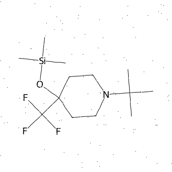 CC(C)(C)N1CCC(O[Si](C)(C)C)(C(F)(F)F)CC1